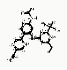 CCc1cc(Nc2cc(NC(C)=O)ncc2-c2cnc(C#N)cn2)nc(C(C)(F)F)n1